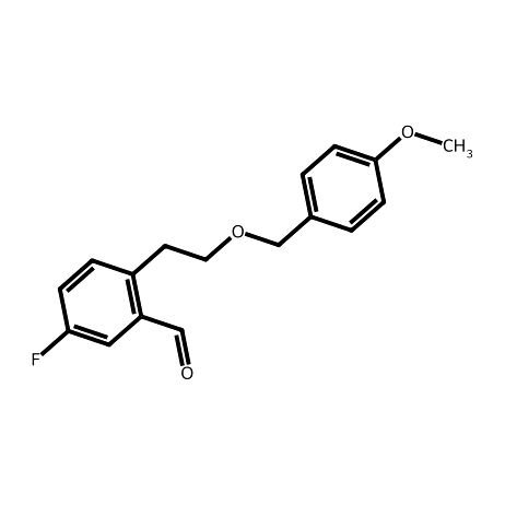 COc1ccc(COCCc2ccc(F)cc2C=O)cc1